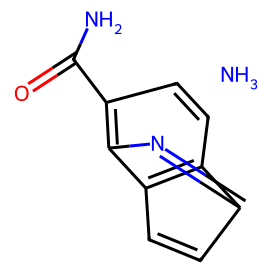 N.NC(=O)c1ccc2c3c1N=C2C=C3